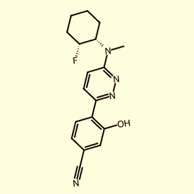 CN(c1ccc(-c2ccc(C#N)cc2O)nn1)[C@H]1CCCC[C@H]1F